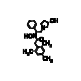 Cc1cc(C)c(CC(=O)N(O)[C@H](CN2CC[C@H](O)C2)c2ccccc2)c(C)c1